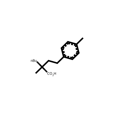 CCCCC(C)(CCc1ccc(C)cc1)C(=O)O